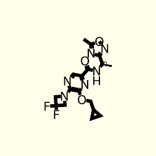 Cc1nc([C@@H](C)NC(=O)c2cnc(N3CC(F)(F)C3)c(OCC3CC3)n2)no1